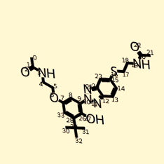 CC(=O)NCCOc1cc(-n2nc3ccc(SCCNC(C)=O)cc3n2)c(O)c(C(C)(C)C)c1